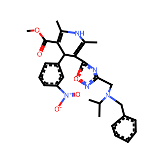 COC(=O)C1=C(C)NC(C)=C(c2nc(CN(Cc3ccccc3)C(C)C)no2)C1c1cccc([N+](=O)[O-])c1